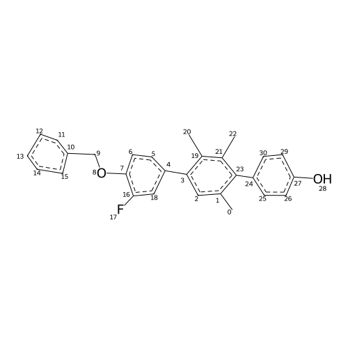 Cc1cc(-c2ccc(OCc3ccccc3)c(F)c2)c(C)c(C)c1-c1ccc(O)cc1